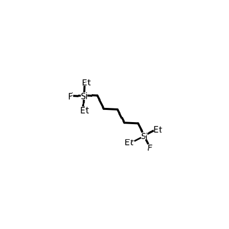 CC[Si](F)(CC)CCCCC[Si](F)(CC)CC